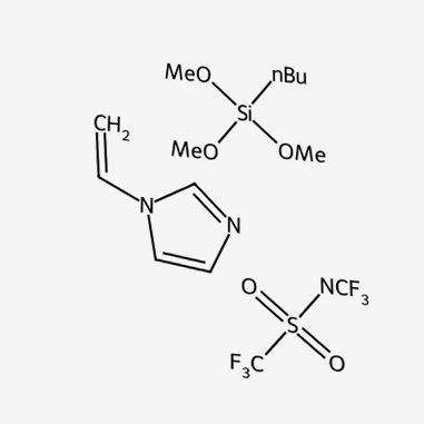 C=Cn1ccnc1.CCCC[Si](OC)(OC)OC.O=S(=O)(NC(F)(F)F)C(F)(F)F